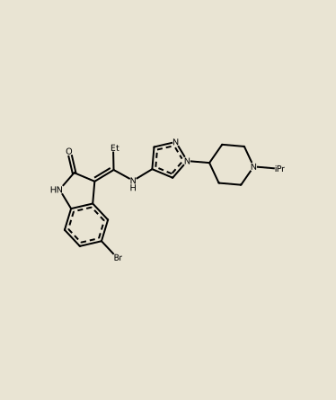 CCC(Nc1cnn(C2CCN(C(C)C)CC2)c1)=C1C(=O)Nc2ccc(Br)cc21